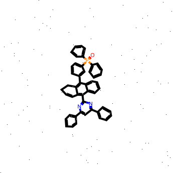 O=P(c1ccccc1)(c1ccccc1)c1cccc(-c2c3c(c(-c4nc(-c5ccccc5)cc(-c5ccccc5)n4)c4ccccc24)C=CCC3)c1